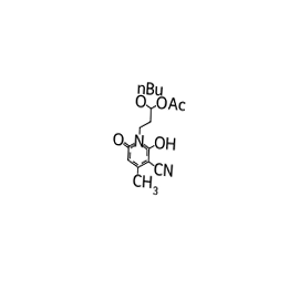 CCCCOC(CCn1c(O)c(C#N)c(C)cc1=O)OC(C)=O